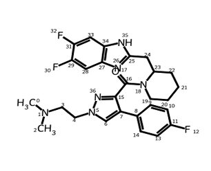 CN(C)CCn1cc(-c2ccc(F)cc2)c(C(=O)N2CCCCC2Cc2nc3cc(F)c(F)cc3[nH]2)n1